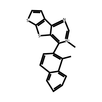 Cc1c(-c2c3sc4sccc4c3nc[n+]2C)ccc2ccccc12